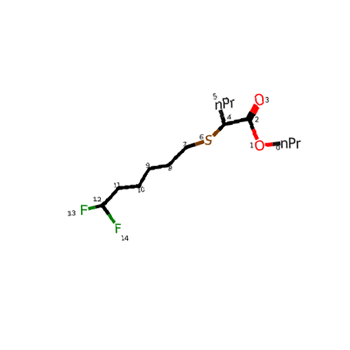 CCCOC(=O)C(CCC)SCCCCCC(F)F